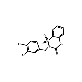 O=C1Nc2ccccc2S(=O)(=O)N1Cc1ccc(Cl)c(Cl)c1